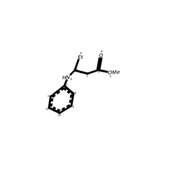 CCC(CC(=O)OC)Nc1ccccc1